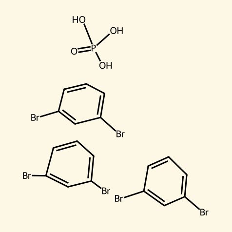 Brc1cccc(Br)c1.Brc1cccc(Br)c1.Brc1cccc(Br)c1.O=P(O)(O)O